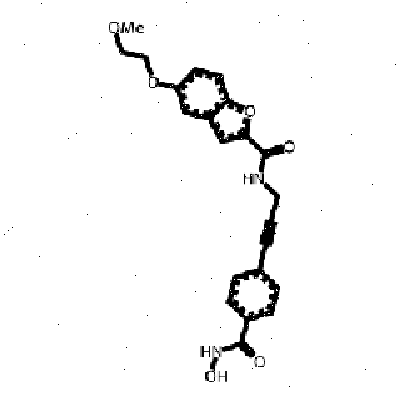 COCCOc1ccc2oc(C(=O)NCC#Cc3ccc(C(=O)NO)cc3)cc2c1